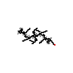 CCCCCCc1cc(-c2cc3c(-c4ccc(CC(CC)CCCC)s4)c4sc(-c5cc(CCCCCC)c(-c6ccc(-c7sc(-c8cc(F)c(CCCCCC)c9snnc89)cc7CCCCCC)s6)s5)cc4c(-c4ccc(CC(CC)CCCC)s4)c3s2)sc1-c1ccc(-c2sc(-c3cc(F)c(C)c4snnc34)cc2CCCCCC)s1